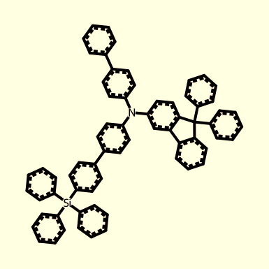 c1ccc(-c2ccc(N(c3ccc(-c4ccc([Si](c5ccccc5)(c5ccccc5)c5ccccc5)cc4)cc3)c3ccc4c(c3)-c3ccccc3C4(c3ccccc3)c3ccccc3)cc2)cc1